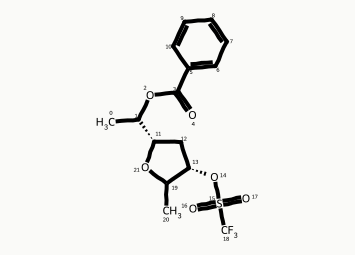 CC(OC(=O)c1ccccc1)[C@@H]1C[C@H](OS(=O)(=O)C(F)(F)F)C(C)O1